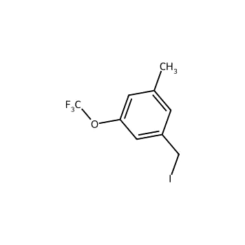 Cc1cc(CI)cc(OC(F)(F)F)c1